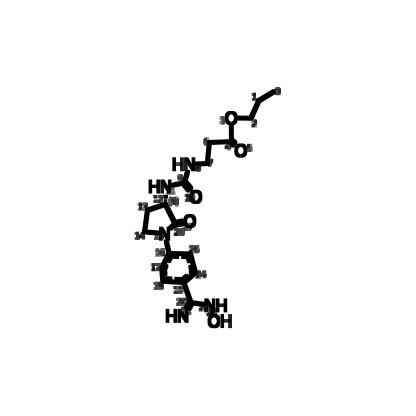 CCCOC(=O)CCNC(=O)N[C@H]1CCN(c2ccc(C(=N)NO)cc2)C1=O